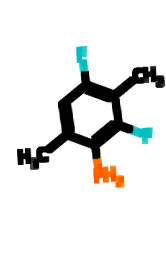 Cc1cc(F)c(C)c(F)c1P